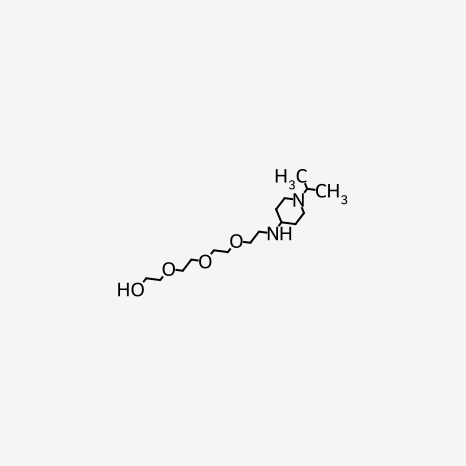 CC(C)N1CCC(NCCOCCOCCOCCO)CC1